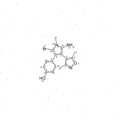 Cc1noc(C)c1-c1c(-c2ccc(O)cc2)c(Br)n(C)c1N